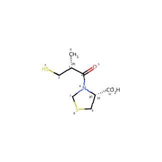 C[C@@H](CS)C(=O)N1CSC[C@H]1C(=O)O